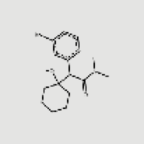 CN(C)C(=O)C(c1cccc(Br)c1)C1(O)CCCCC1